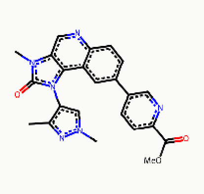 COC(=O)c1ccc(-c2ccc3ncc4c(c3c2)n(-c2cn(C)nc2C)c(=O)n4C)cn1